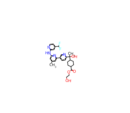 Cc1cc(Nc2cc(C(F)F)ccn2)nc(-c2ccc(C(C)(O)C3CCC(C(=O)OCCO)CC3)nc2)c1